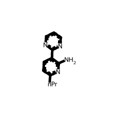 CCCc1ccc(-c2ncccn2)c(N)n1